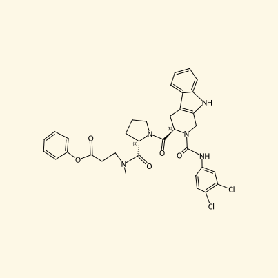 CN(CCC(=O)Oc1ccccc1)C(=O)[C@@H]1CCCN1C(=O)[C@H]1Cc2c([nH]c3ccccc23)CN1C(=O)Nc1ccc(Cl)c(Cl)c1